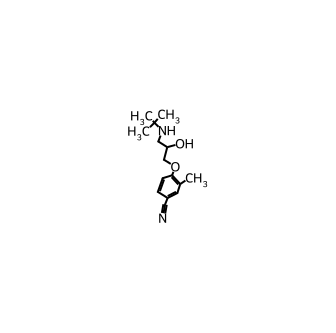 Cc1cc(C#N)ccc1OCC(O)CNC(C)(C)C